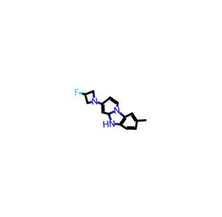 Cc1ccc2c(c1)N1C=CC(N3CC(F)C3)=CC1N2